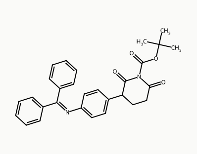 CC(C)(C)OC(=O)N1C(=O)CCC(c2ccc(N=C(c3ccccc3)c3ccccc3)cc2)C1=O